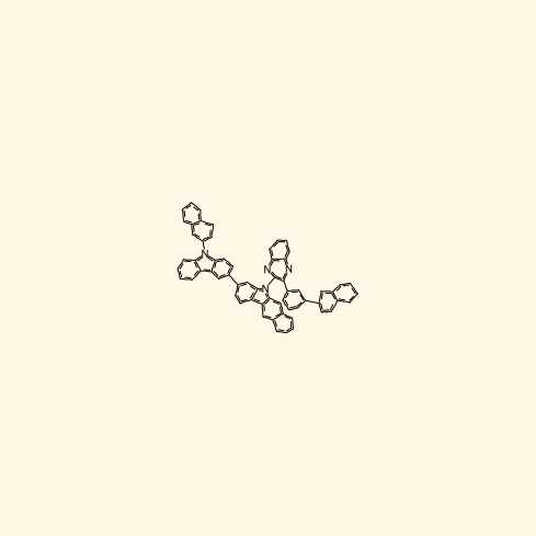 c1cc(-c2ccc3ccccc3c2)cc(-c2nc3ccccc3nc2-n2c3cc(-c4ccc5c(c4)c4ccccc4n5-c4ccc5ccccc5c4)ccc3c3cc4ccccc4cc32)c1